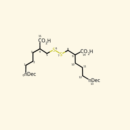 CCCCCCCCCCCCCC(CSSCC(CCCCCCCCCCCCC)C(=O)O)C(=O)O